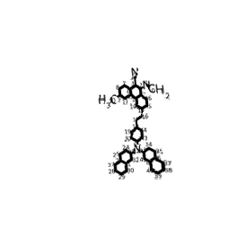 C=Nc1c(C#N)c2ccc(C)cc2c2cc(C=Cc3ccc(N(c4ccc5ccccc5c4)c4ccc5ccccc5c4)cc3)ccc12